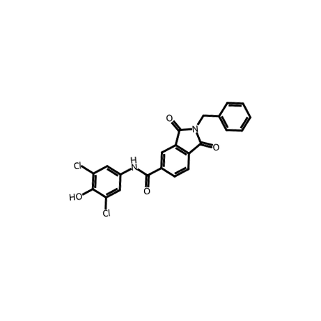 O=C(Nc1cc(Cl)c(O)c(Cl)c1)c1ccc2c(c1)C(=O)N(Cc1ccccc1)C2=O